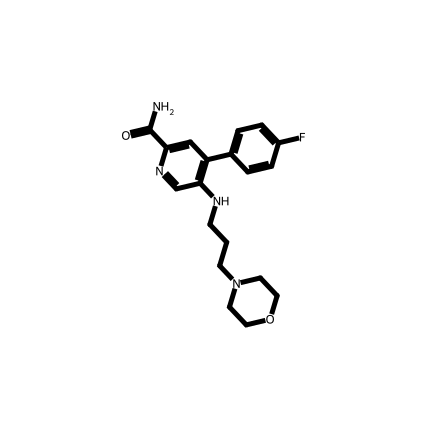 NC(=O)c1cc(-c2ccc(F)cc2)c(NCCCN2CCOCC2)cn1